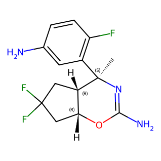 C[C@]1(c2cc(N)ccc2F)N=C(N)O[C@@H]2CC(F)(F)C[C@@H]21